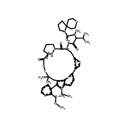 CCn1c(-c2cccnc2[C@H](C)OC)c2c3cc(ccc31)-c1csc(n1)C[C@H](NC(=O)C(C(C)C)N(C)C(=O)N1CCCC13CCOCC3)C(=O)N1CCC[C@H](N1)C(=O)OCC(C)(C)C2